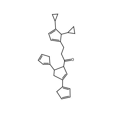 O=C(CCC1=CC=C(C2CC2)C1C1CC1)C1C=C(C2=CC=CC2)CC1C1=CC=CC1